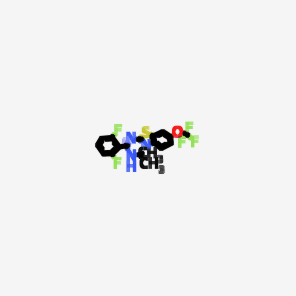 CC(C)N/C(=N\c1nc2ccc(OC(F)(F)F)cc2s1)c1c(F)cccc1F